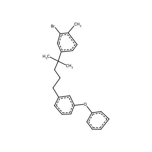 Cc1ccc(C(C)(C)CCCc2cccc(Oc3ccccc3)c2)cc1Br